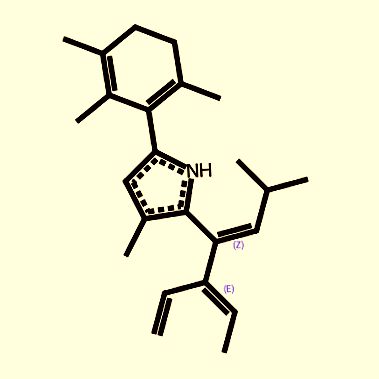 C=CC(=C\C)/C(=C/C(C)C)c1[nH]c(C2=C(C)CCC(C)=C2C)cc1C